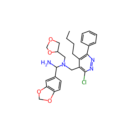 CCCCc1c(-c2ccccc2)nnc(Cl)c1CN(CC1COCO1)C(N)c1ccc2c(c1)OCO2